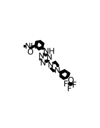 CNC(=O)c1cccc(Nc2ncnc(N3CCN(c4ccc(OC(F)(F)F)cc4)CC3)n2)c1